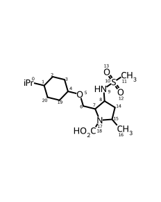 CC(C)C1CCC(OCC2C(NS(C)(=O)=O)CC(C)N2C(=O)O)CC1